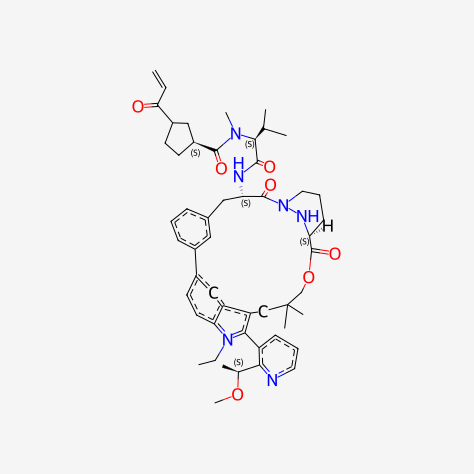 C=CC(=O)C1CC[C@H](C(=O)N(C)[C@H](C(=O)N[C@H]2Cc3cccc(c3)-c3ccc4c(c3)c(c(-c3cccnc3[C@H](C)OC)n4CC)CC(C)(C)COC(=O)[C@@H]3CCCN(N3)C2=O)C(C)C)C1